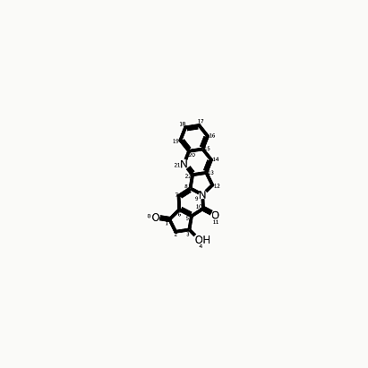 O=C1CC(O)c2c1cc1n(c2=O)Cc2cc3ccccc3nc2-1